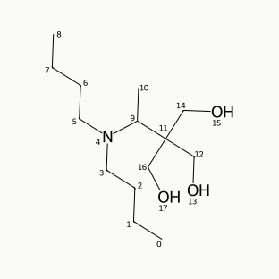 CCCCN(CCCC)C(C)C(CO)(CO)CO